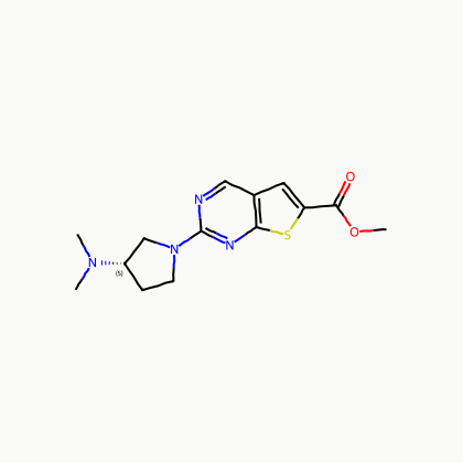 COC(=O)c1cc2cnc(N3CC[C@H](N(C)C)C3)nc2s1